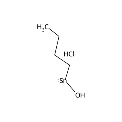 CCC[CH2][Sn][OH].Cl